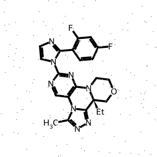 CC[C@]12COCCN1c1nc(-n3ccnc3-c3ccc(F)cc3F)ncc1-n1c(C)nnc12